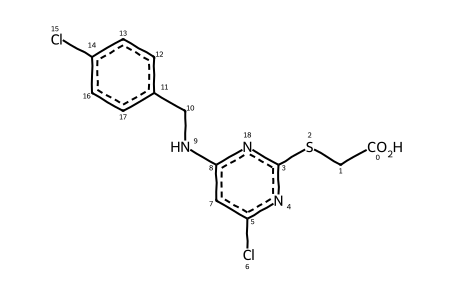 O=C(O)CSc1nc(Cl)cc(NCc2ccc(Cl)cc2)n1